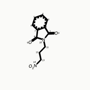 O=C1c2ccccc2C(=O)N1CCC[N+](=O)[O-]